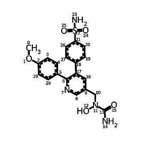 COc1ccc(-c2ncc(CN(O)C(N)=O)cc2-c2ccc(S(N)(=O)=O)cc2)cc1